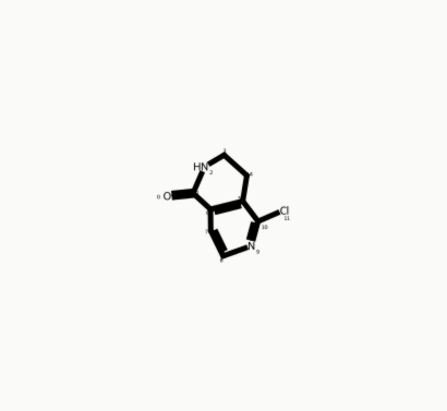 O=C1NCCc2c1ccnc2Cl